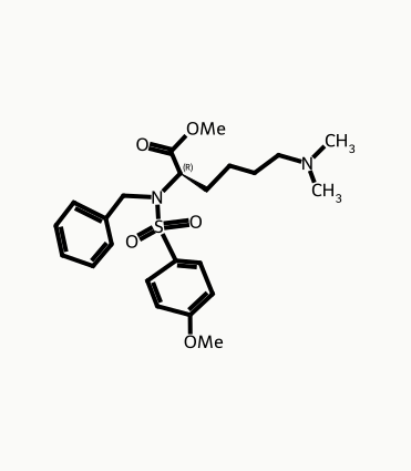 COC(=O)[C@@H](CCCCN(C)C)N(Cc1ccccc1)S(=O)(=O)c1ccc(OC)cc1